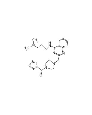 CN(C)CCCNc1nc(CN2CCN(C(=O)c3ccsc3)CC2)nc2ccccc12